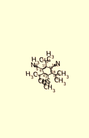 COSc1c(C(C)C)c(C#N)c(C(C)C)c(C#N)c1C(C)C